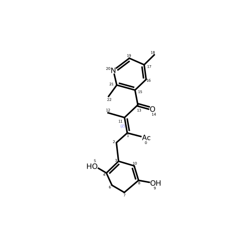 CC(=O)/C(CC1=C(O)CCC(O)=C1)=C(/C)C(=O)c1cc(C)cnc1C